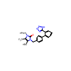 CCCCCn1c(C(F)(F)F)c(CCCC)n(Cc2ccc(-c3ccccc3-c3nnn[nH]3)cc2)c1=O